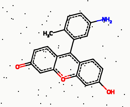 Cc1ccc(N)cc1-c1c2ccc(=O)cc-2oc2cc(O)ccc12